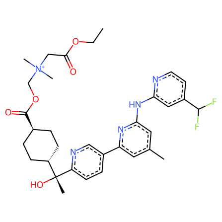 CCOC(=O)C[N+](C)(C)COC(=O)[C@H]1CC[C@H]([C@@](C)(O)c2ccc(-c3cc(C)cc(Nc4cc(C(F)F)ccn4)n3)cn2)CC1